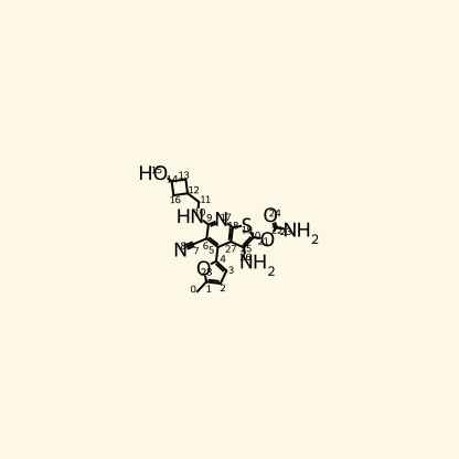 Cc1ccc(-c2c(C#N)c(NCC3CC(O)C3)nc3sc(OC(N)=O)c(N)c23)o1